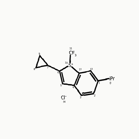 CC(C)c1ccc2cc(C3CC3)[s+](C(F)(F)F)c2c1.[Cl-]